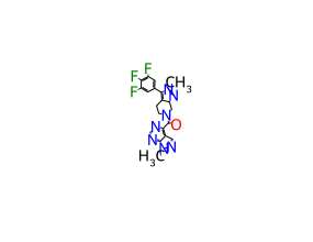 Cn1nc2c(c1-c1cc(F)c(F)c(F)c1)CCN(C(=O)c1ncnc3c1cnn3C)C2